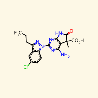 CC1(C(=O)O)C(=O)Nc2nc(-n3nc(CCC(F)(F)F)c4cc(Cl)ccc43)nc(N)c21